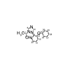 CC(O)N1C=NCN1c1ccccc1Oc1ccccc1